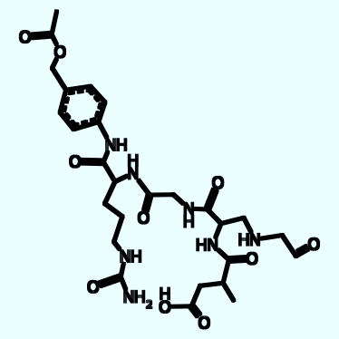 CC(=O)OCc1ccc(NC(=O)C(CCCNC(N)=O)NC(=O)CNC(=O)C(CNCC=O)NC(=O)C(C)CC(=O)O)cc1